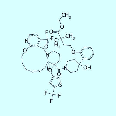 CCOC(=O)C(C)(C)CCOc1ccccc1C1(O)CCN(C(=O)[C@]2(Oc3csc(C(F)(F)F)c3)CCCN3C(=O)c4c(C(F)(F)F)ccnc4OCCC/C=C\C[C@@H]32)CC1